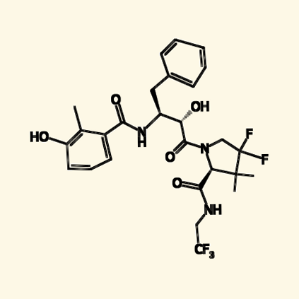 Cc1c(O)cccc1C(=O)N[C@@H](Cc1ccccc1)[C@H](O)C(=O)N1CC(F)(F)C(C)(C)[C@H]1C(=O)NCC(F)(F)F